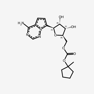 CC1(OC(=O)OC[C@H]2O[C@@H](c3ccc4c(N)ncnn34)[C@H](O)[C@@H]2O)CCCC1